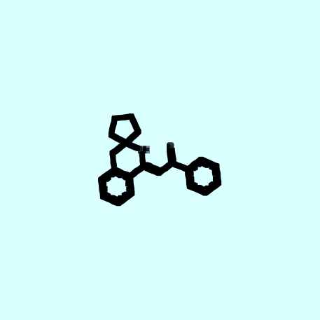 O=C(/C=C1\NC2(CCCC2)Cc2ccccc21)c1ccccc1